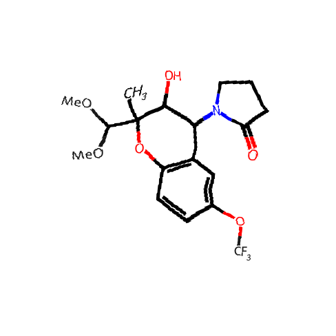 COC(OC)C1(C)Oc2ccc(OC(F)(F)F)cc2C(N2CCCC2=O)C1O